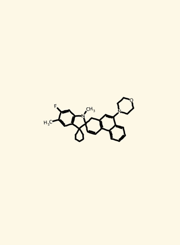 Cc1cc2c(cc1F)N(C)C1(C=Cc3c(cc(N4CCOCC4)c4ccccc34)C1)C21CCCCC1